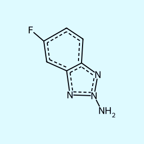 Nn1nc2ccc(F)cc2n1